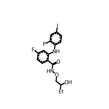 CCC(O)CONC(=O)c1ccc(F)cc1Nc1ccc(I)cc1F